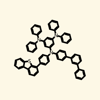 c1ccc(-c2cccc(-c3ccc(N(c4ccc(-c5cccc6c5sc5ccccc56)cc4)c4cc(N(c5ccccc5)c5ccccc5)cc(N(c5ccccc5)c5ccccc5)c4)cc3)c2)cc1